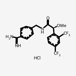 CO[C@H](C(=O)NCc1ccc(C(=N)N)cc1)c1ccc(C(F)(F)F)cc1C(F)(F)F.Cl